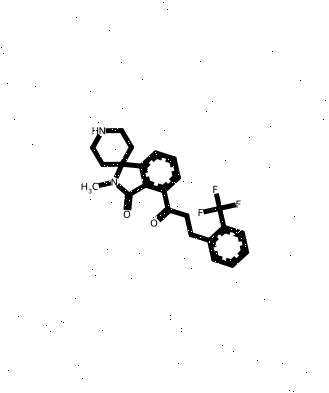 CN1C(=O)c2c(C(=O)CCc3ccccc3C(F)(F)F)cccc2C12CCNCC2